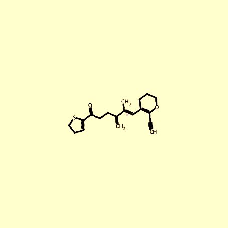 C#CC1=C(/C=C(\C)C(=C)CCC(=O)C2=CCCS2)CCCO1